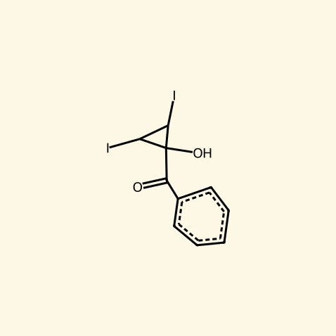 O=C(c1ccccc1)C1(O)C(I)C1I